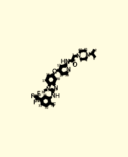 CC(C)N1CCN(CC(=O)Nc2cc(Oc3ccc4c(c3)nc(Nc3cc(C(F)(F)F)ccc3F)n4C)ccn2)CC1